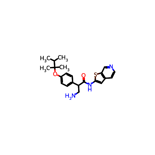 CC(C)C(C)(C)Oc1ccc(C(CN)C(=O)Nc2cc3ccncc3s2)cc1